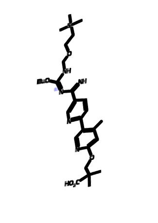 Cc1cc(OCC(C)(C)C(=O)O)ncc1-c1ccc(C(=N)/N=C(\NCOCC[Si](C)(C)C)OCC(C)C)cn1